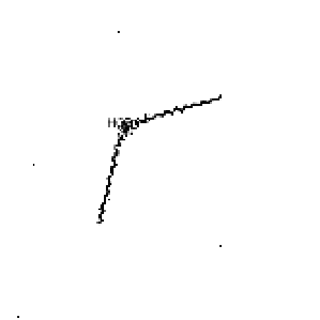 CCCCCCCCCCCCCCCCSCCOOP(=O)(O)OOCCSCCCCCCCCCCCCCCCC